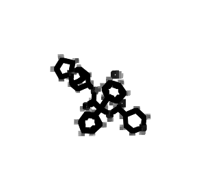 O=C(OC1CC2CCC(C1)[N+]21CCCC1)C(OC(Cl)C1CCOCC1)(c1ccccc1)c1ccccc1.[Cl-]